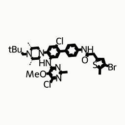 COc1c(Cl)nc(C)nc1Nc1cc(-c2ccc(NC(=O)Cc3cc(Br)c(C)s3)cc2)c(Cl)cc1N1C[C@@H](C)N(CC(C)(C)C)[C@@H](C)C1